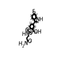 NC(=O)CCNS(=O)(=O)c1ccc(-c2c[nH]c3cc(F)ccc23)cc1CO